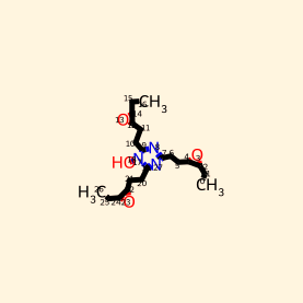 CCC1OC1CCC1=NC(CCC2OC2CC)N(O)C(CCC2OC2CC)=N1